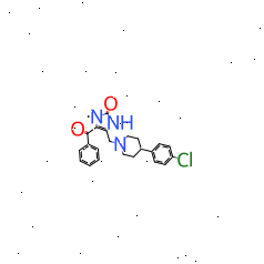 O=C1[N]C(C(=O)c2ccccc2)=C(CN2CCC(c3ccc(Cl)cc3)CC2)N1